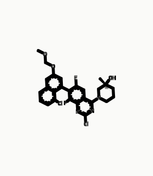 COCOc1cc(-c2c(F)cc3c(N4CCC[C@@](C)(O)C4)nc(Cl)nc3c2F)c2c(Cl)cccc2c1